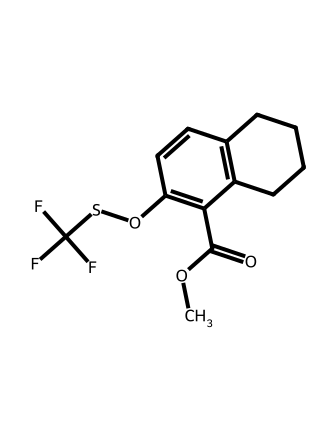 COC(=O)c1c(OSC(F)(F)F)ccc2c1CCCC2